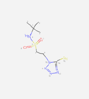 CC(C)(C)NS(=O)(=O)CCn1nnnc1S